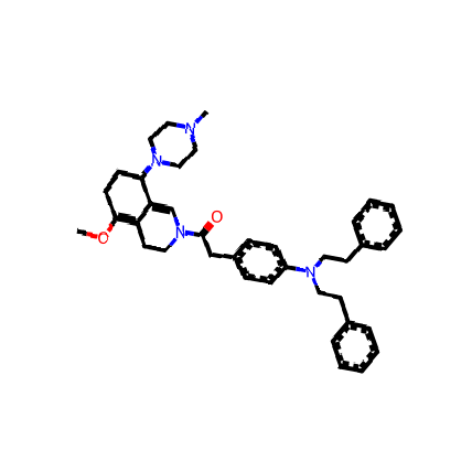 COC1=C2CCN(C(=O)Cc3ccc(N(CCc4ccccc4)CCc4ccccc4)cc3)C=C2C(N2CCN(C)CC2)CC1